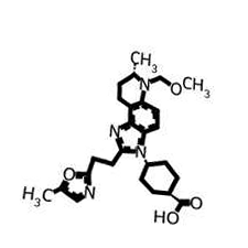 COCN1c2ccc3c(nc(CCc4ncc(C)o4)n3[C@H]3CC[C@H](C(=O)O)CC3)c2CC[C@@H]1C